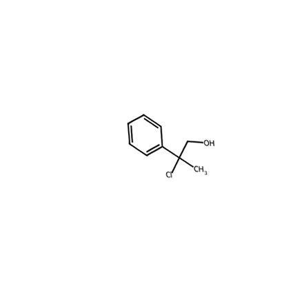 CC(Cl)(CO)c1ccccc1